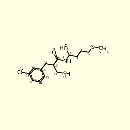 CSCCCC(O)NC(=O)C(CS)Cc1cccc(Cl)c1